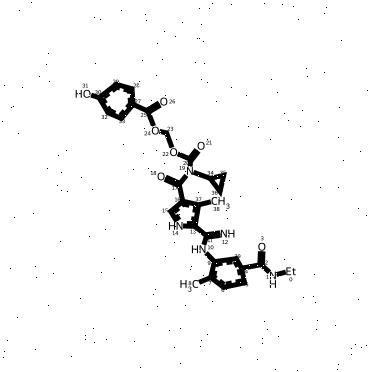 CCNC(=O)c1ccc(C)c(NC(=N)c2[nH]cc(C(=O)N(C(=O)OCOC(=O)c3ccc(O)cc3)C3CC3)c2C)c1